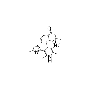 [C-]#[N+]C1=C(C)NC(C)=C(c2nc(C)cs2)C1c1cccc2c(=O)cc(C)oc12